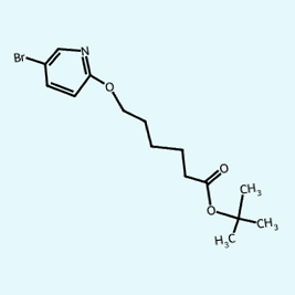 CC(C)(C)OC(=O)CCCCCOc1ccc(Br)cn1